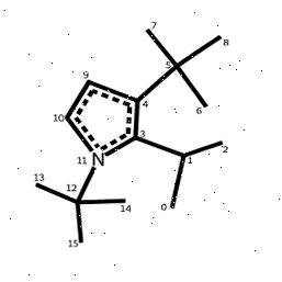 CC(C)c1c(C(C)(C)C)ccn1C(C)(C)C